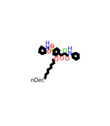 CCCCCCCCCCCCCCCCCCOc1cc(S(=O)(=O)Nc2ccccc2)ccc1C(=O)C(Cl)C(=O)Nc1ccccc1